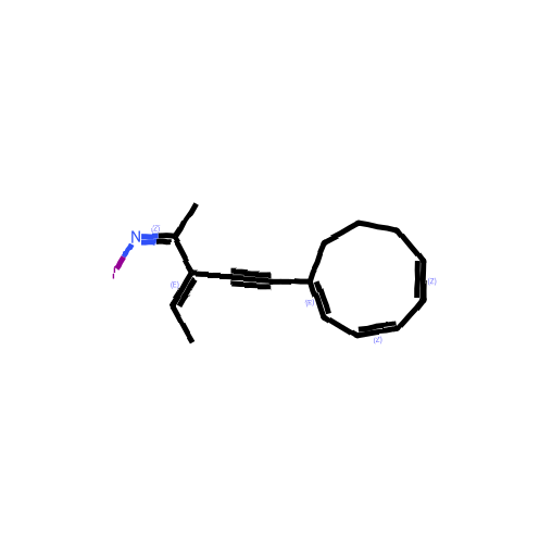 C/C=C(C#C/C1=C/C=C\C=C/CCC1)/C(C)=N\I